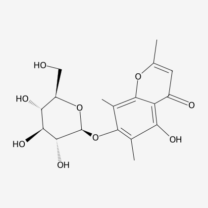 Cc1cc(=O)c2c(O)c(C)c(O[C@@H]3O[C@H](CO)[C@@H](O)[C@H](O)[C@H]3O)c(C)c2o1